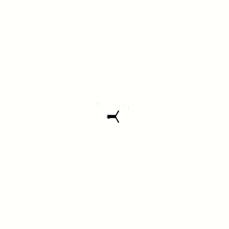 O.O=[C](O)[Co]